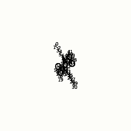 CCCCCCCCn1c2cc3c(=O)c4c(C)cc(C)cc4n(CCCCCCCC)c3cc2c(=O)c2c(C)cc(C)cc21